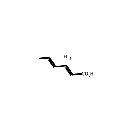 CC=CC=CC(=O)O.P